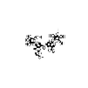 C=C[C@H]1[C@H](O[C@@H]2O[C@H](CO)[C@@H](O)[C@H](O)[C@H]2O)OC=C(C(=O)O[C@H]2C[C@@H]3C(C(=O)OC)=CO[C@@H](O[C@@H]4O[C@H](CO)[C@@H](O)[C@H](O)[C@H]4O)[C@@H]3[C@H]2C)[C@H]1C[C@@H]1OCC[C@@H](O)O1